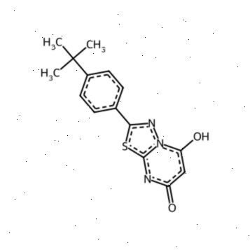 CC(C)(C)c1ccc(-c2nn3c(O)cc(=O)nc3s2)cc1